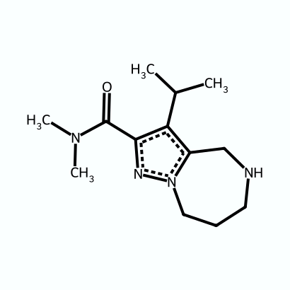 CC(C)c1c(C(=O)N(C)C)nn2c1CNCCC2